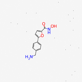 NCc1ccc(-c2ccc(C(=O)NO)o2)cc1